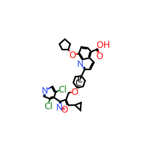 O=C(O)c1ccc(OC2CCCC2)c2nc(C34CCC(OCc5c(-c6c(Cl)cncc6Cl)noc5C5CC5)(CC3)CC4)ccc12